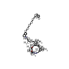 COc1cc2cc(c1Cl)N(C)C(=O)C[C@H](OC(=O)[C@H](C)N(C)C(=O)CCSSC(C)(C)CC(=O)N/N=C1\CCCc3cc(OCCOCCOCCOCCOCCC(=O)ON4C(=O)CCC4=O)ccc31)C(C)(O)C[C@H](C)[C@@H]1C[C@@](O)(NC(=O)O1)[C@H](OC)/C=C/C=C(\C)C2